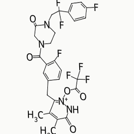 Cc1c(C)c(=O)[nH][n+](OC(=O)C(F)(F)F)c1Cc1ccc(F)c(C(=O)N2CCN(CC(F)(F)c3ccc(F)cc3)C(=O)C2)c1